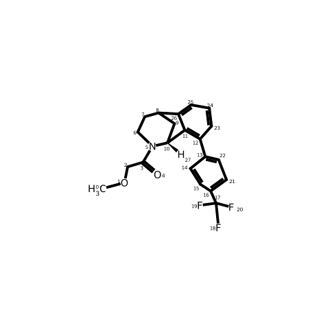 COCC(=O)N1CCC2C[C@@H]1c1c(-c3ccc(C(F)(F)F)cc3)cccc12